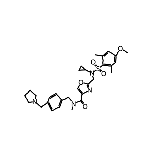 COc1cc(C)c(S(=O)(=O)N(Cc2nc(C(=O)N(C)Cc3ccc(CN4CCCC4)cc3)co2)C2CC2)c(C)c1